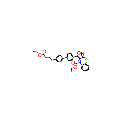 CCOC(=O)CCCc1ccc(-c2ccc(-c3onc(C)c3N(C(=O)OCC)c3ccccc3Cl)cc2)cc1